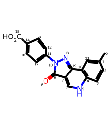 Cc1ccc2[nH]cc3c(=O)n(-c4ccc(C(=O)O)cc4)nc-3c2c1